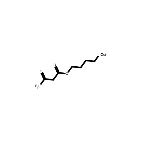 CCCCCCCCCCCCOC(=O)CC(=O)C(F)(F)F